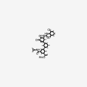 C=C(OC)c1cc(C(=O)NC2CC2)cc(-c2cccc(-c3cc(NC(=O)Nc4c(Cl)cncc4Cl)c(=O)n(CC)n3)c2)c1